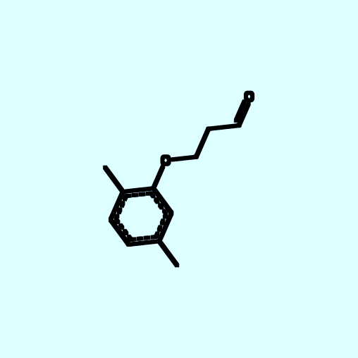 Cc1ccc(C)c(OCCC=O)c1